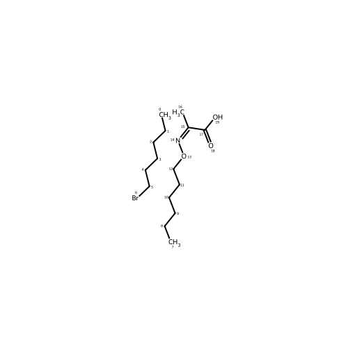 CCCCCCBr.CCCCCCON=C(C)C(=O)O